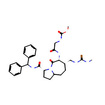 CCNC(=S)NC[C@H]1CC[C@H]2CC[C@@H](C(=O)NC(c3ccccc3)c3ccccc3)N2C(=O)[C@H]1NC(=O)[C@H](CC)NC(=O)OC(C)(C)C